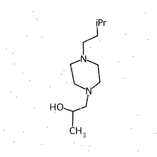 CC(C)CCN1CCN(CC(C)O)CC1